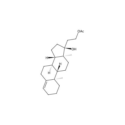 CC(=O)OCC[C@@]1(O)CC[C@H]2[C@@H]3CCC4=CCCC[C@]4(C)[C@H]3CC[C@@]21C